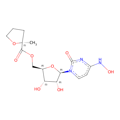 C[C@@]1(C(=O)OC[C@H]2O[C@@H](n3ccc(NO)nc3=O)[C@H](O)[C@@H]2O)CCCO1